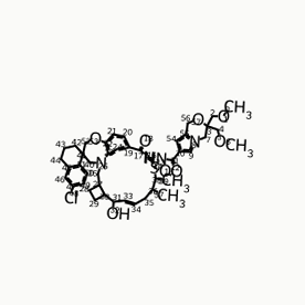 COCC1(COC)Cn2cc(C(=O)NS3(=O)=NC(=O)c4ccc5c(c4)N(CC4CCC4C(O)/C=C/CC(C)C3C)CC3(CCCc4cc(Cl)ccc43)CO5)cc2CO1